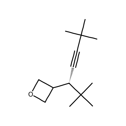 CC(C)(C)C#C[C@@H](C1COC1)C(C)(C)C